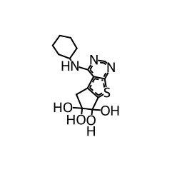 OC1(O)Cc2c(sc3ncnc(NC4CCCCC4)c23)C1(O)O